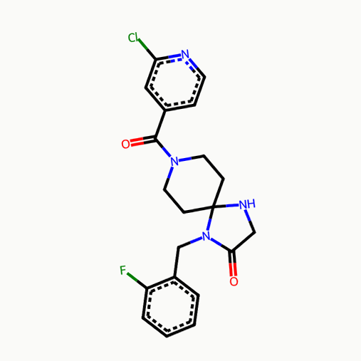 O=C(c1ccnc(Cl)c1)N1CCC2(CC1)NCC(=O)N2Cc1ccccc1F